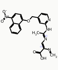 C=N/C(=C\N=C(/C)Nc1cc(COc2ccc([N+](=O)[O-])c3ccccc23)ccn1)C(=O)O